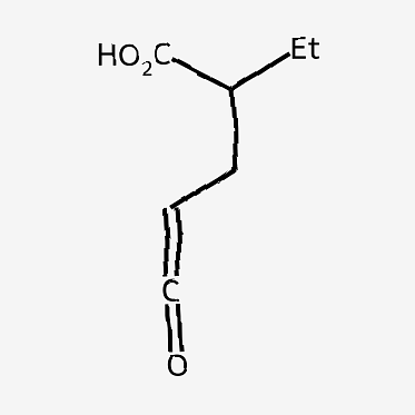 CCC(CC=C=O)C(=O)O